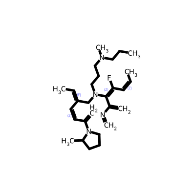 C=NC(=C)/C(=C(F)\C=C/C)N(CCCN(C)CCC)CC(/C=C\C(=C)N1CCCC1C)=C/C